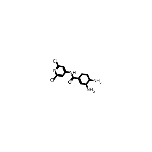 NC1C=C(C(=O)Nc2cc(Cl)nc(Cl)c2)CCC1N